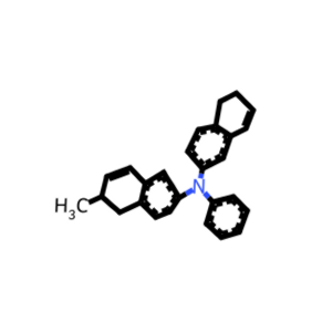 CC1C=Cc2cc(N(c3ccccc3)c3ccc4c(c3)C=CCC4)ccc2C1